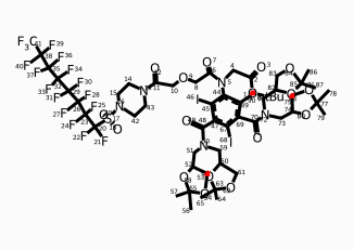 CC(C)(C)OC(=O)CN(C(=O)COCC(=O)N1CCN(S(=O)(=O)C(F)(F)C(F)(F)C(F)(F)C(F)(F)C(F)(F)C(F)(F)C(F)(F)C(F)(F)F)CC1)c1c(I)c(C(=O)N(CC2COC(C)(C)O2)CC2COC(C)(C)O2)c(I)c(C(=O)N(CC2COC(C)(C)O2)CC2COC(C)(C)O2)c1I